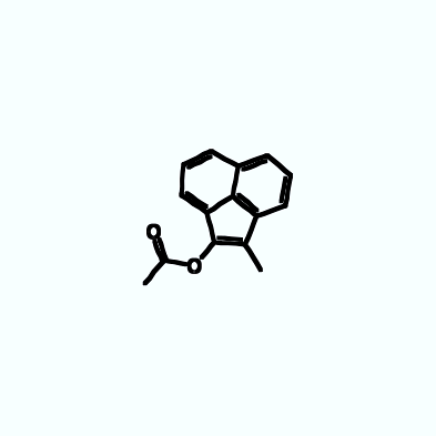 CC(=O)OC1=C(C)c2cccc3cccc1c23